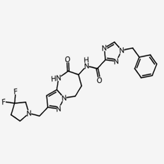 O=C(NC1CCn2nc(CN3CCC(F)(F)C3)cc2NC1=O)c1ncn(Cc2ccccc2)n1